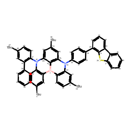 CC(C)(C)c1ccc2c(c1)B1c3ccc(C(C)(C)C)cc3N(c3ccc(-c4cccc5c4sc4ccccc45)cc3)c3cc(C(C)(C)C)cc(c31)N2c1ccc(C(C)(C)C)cc1-c1ccccc1